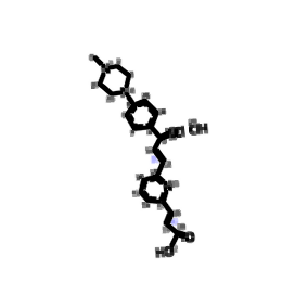 CN1CCN(c2ccc(C(=O)/C=C/c3cccc(/C=C/C(=O)O)n3)cc2)CC1.Cl.Cl